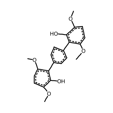 COc1ccc(OC)c(-c2ccc(-c3c(OC)ccc(OC)c3O)cc2)c1O